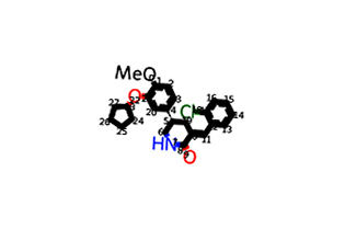 COc1ccc([C@H]2CNC(=O)C(=Cc3ccccc3Cl)C2)cc1OC1CCCC1